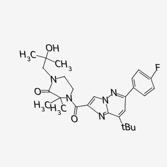 CC(C)(O)CN1CCN(C(=O)c2cn3nc(-c4ccc(F)cc4)cc(C(C)(C)C)c3n2)C(C)(C)C1=O